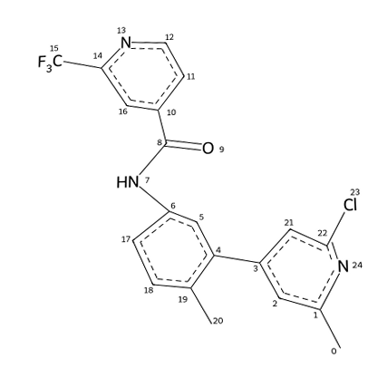 Cc1cc(-c2cc(NC(=O)c3ccnc(C(F)(F)F)c3)ccc2C)cc(Cl)n1